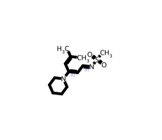 CC(C)=C/C(=C\C=N\S(C)(=O)=O)N1CCCCC1